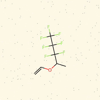 C=COC(C)C(F)(F)C(F)(F)C(F)(F)F